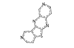 c1cc2nc3sc4ccncc4c3nc2cn1